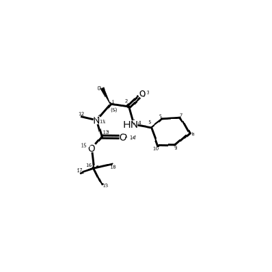 C[C@@H](C(=O)NC1CCCCC1)N(C)C(=O)OC(C)(C)C